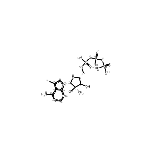 C[C@@]1(Cl)C(O)[C@@H](COP(=O)(O)OP(=O)(O)OP(=O)(O)O)O[C@H]1n1cc(F)c2c(N)ncnc21